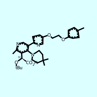 Cc1ccc(OCCOc2ccc(-c3cnc(C)c([C@H](OC(C)(C)C)C(=O)O)c3N3CCC(C)(C)CC3)nc2)cc1